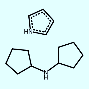 C1CCC(NC2CCCC2)C1.c1cc[nH]c1